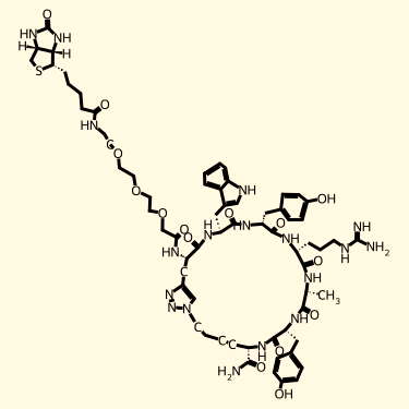 C[C@H]1NC(=O)[C@@H](CCCNC(=N)N)NC(=O)[C@@H](Cc2ccc(O)cc2)NC(=O)[C@@H](Cc2c[nH]c3ccccc23)NC(=O)[C@@H](NC(=O)COCCOCCOCCNC(=O)CCCC[C@@H]2SC[C@@H]3NC(=O)N[C@@H]32)Cc2cn(nn2)CCCC[C@@H](C(N)=O)NC(=O)[C@@H](Cc2ccc(O)cc2)NC1=O